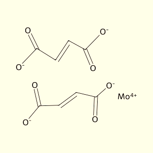 O=C([O-])C=CC(=O)[O-].O=C([O-])C=CC(=O)[O-].[Mo+4]